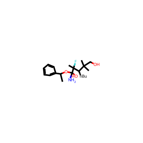 CCCCC(C(C)(C)CO)C(C)(F)C(N)(O)OC(C)c1ccccc1